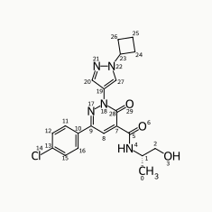 C[C@@H](CO)NC(=O)c1cc(-c2ccc(Cl)cc2)nn(-c2cnn(C3CCC3)c2)c1=O